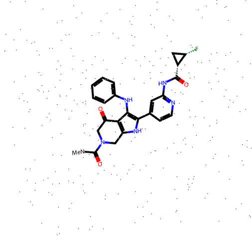 CNC(=O)N1CC(=O)c2c([nH]c(-c3ccnc(NC(=O)[C@@H]4C[C@@H]4F)c3)c2Nc2ccccc2)C1